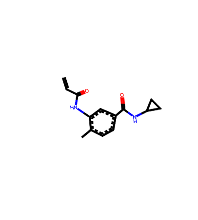 C=CC(=O)Nc1cc(C(=O)NC2CC2)ccc1C